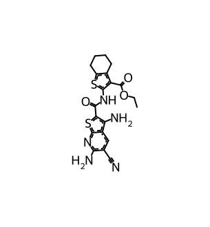 CCOC(=O)c1c(NC(=O)c2sc3nc(N)c(C#N)cc3c2N)sc2c1CCCC2